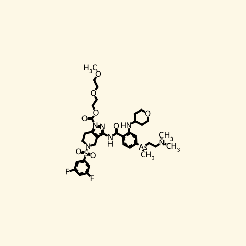 COCCOCCOC(=O)n1nc(NC(=O)c2ccc([As](C)CCN(C)C)cc2NC2CCOCC2)c2c1CCN(S(=O)(=O)c1cc(F)cc(F)c1)C2